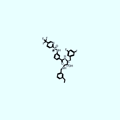 CCc1cccc(CNC[C@H](O)[C@H](Cc2cc(F)cc(F)c2)NC(=O)c2cccc(NS(=O)(=O)c3ccc(C(F)(F)F)cn3)c2)c1